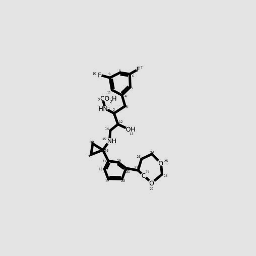 O=C(O)NC(Cc1cc(F)cc(F)c1)C(O)CNC1(c2cccc(C3CCOCOC3)c2)CC1